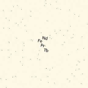 [Fe].[Nd].[Pr].[Tb]